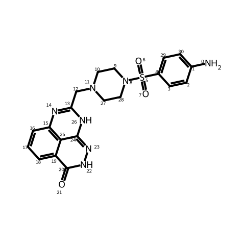 Nc1ccc(S(=O)(=O)N2CCN(CC3=Nc4cccc5c(=O)[nH]nc(c45)N3)CC2)cc1